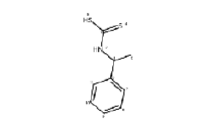 CC(NC(=S)S)c1ccccc1